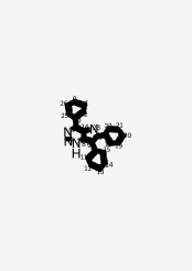 c1ccc(-c2nn[nH]c3c(-c4ccccc4)c(-c4ccccc4)nc2-3)cc1